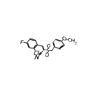 COc1ccc(CS(=O)(=O)C(C#N)=Cc2ccc(F)cc2Cl)cc1